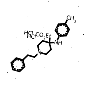 CCOC(=O)C1(Nc2ccc(C)cc2)CCN(CCc2ccccc2)CC1.Cl.Cl